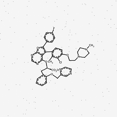 Cc1c(-c2c(-c3ccc(F)cc3)oc3ncnc(O[C@H](Cc4ccccc4OCc4cnccn4)C(=O)O)c23)ccc(OCCN2CCN(C)CC2)c1Cl